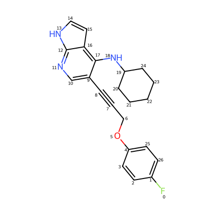 Fc1ccc(OCC#Cc2cnc3[nH]ccc3c2NC2CCCCC2)cc1